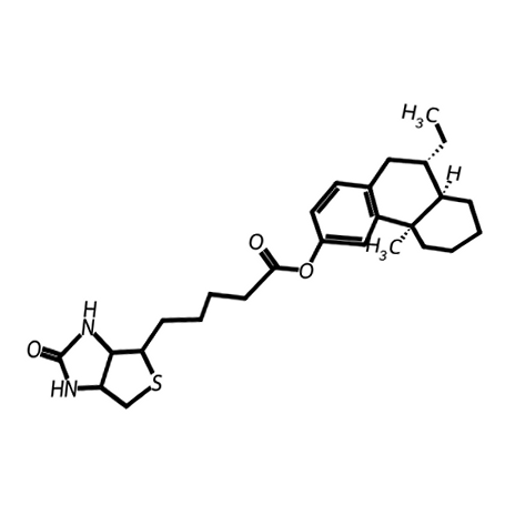 CC[C@H]1Cc2ccc(OC(=O)CCCCC3SCC4NC(=O)NC43)cc2[C@]2(C)CCCC[C@H]12